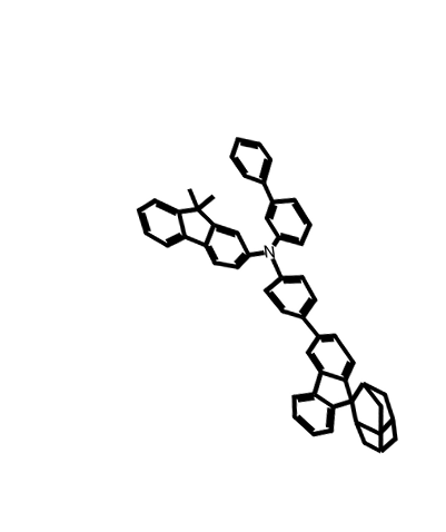 CC1(C)c2ccccc2-c2ccc(N(c3ccc(-c4ccc5c(c4)-c4ccccc4C54C5CC6CC(C5)CC4C6)cc3)c3cccc(-c4ccccc4)c3)cc21